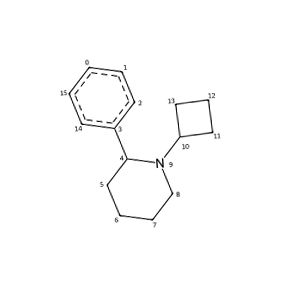 c1ccc(C2CCCCN2C2CCC2)cc1